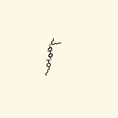 CCCCCC1CCC(C(=O)Oc2ccc(-c3ncc(OC(CCC)CCCCC)cn3)cc2)CC1